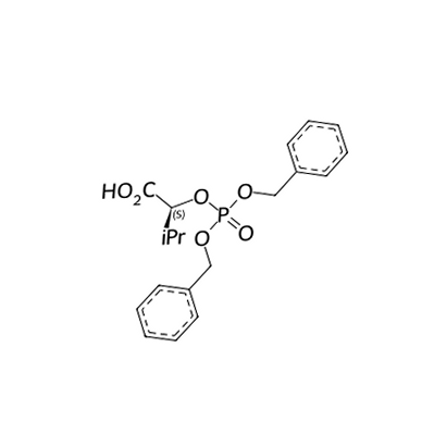 CC(C)[C@H](OP(=O)(OCc1ccccc1)OCc1ccccc1)C(=O)O